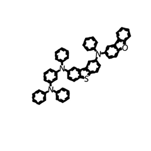 c1ccc(N(c2ccccc2)c2cccc(N(c3ccccc3)c3ccc4sc5ccc(N(c6ccccc6)c6ccc7oc8ccccc8c7c6)cc5c4c3)c2)cc1